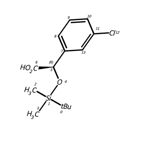 CC(C)(C)[Si](C)(C)O[C@@H](C(=O)O)c1cccc(Cl)c1